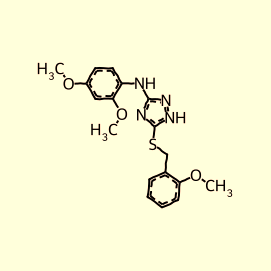 COc1ccc(Nc2n[nH]c(SCc3ccccc3OC)n2)c(OC)c1